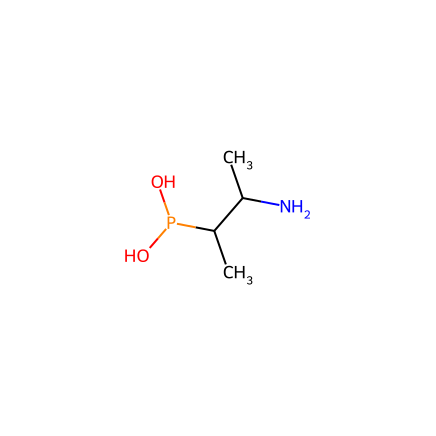 CC(N)C(C)P(O)O